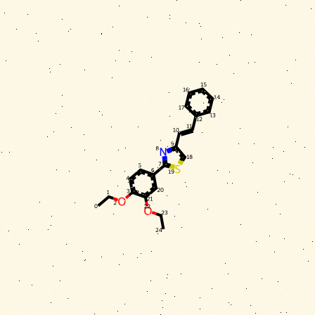 CCOc1ccc(-c2nc(C=Cc3ccccc3)cs2)cc1OCC